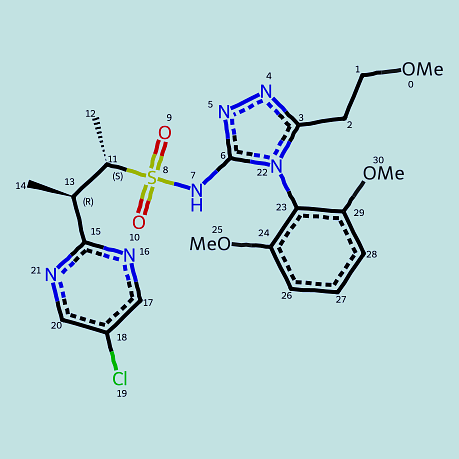 COCCc1nnc(NS(=O)(=O)[C@@H](C)[C@H](C)c2ncc(Cl)cn2)n1-c1c(OC)cccc1OC